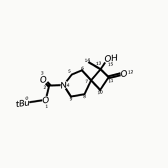 CC(C)(C)OC(=O)N1CCC2(CC1)CC(=O)C2(C)O